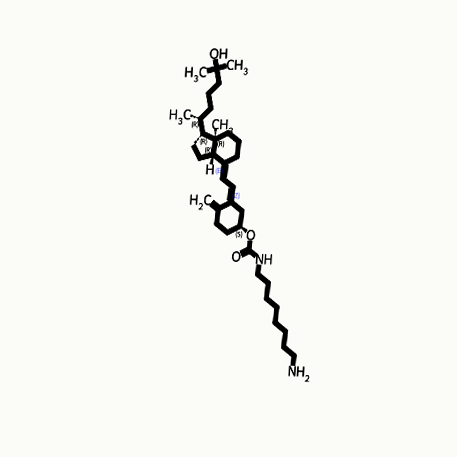 C=C1CC[C@H](OC(=O)NCCCCCCCCN)C/C1=C/C=C1\CCC[C@]2(C)[C@@H]([C@H](C)CCCC(C)(C)O)CC[C@@H]12